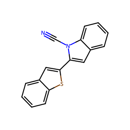 N#Cn1c(-c2cc3ccccc3s2)cc2ccccc21